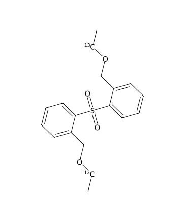 C[13CH2]OCc1ccccc1S(=O)(=O)c1ccccc1CO[13CH2]C